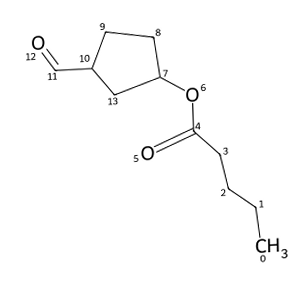 CCCCC(=O)OC1CCC(C=O)C1